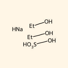 CCO.CCO.O=S(=O)(O)O.[NaH]